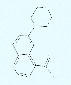 NC(=O)c1ccnc2ccc(N3CCOCC3)cc12